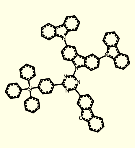 c1ccc([Si](c2ccccc2)(c2ccccc2)c2ccc(-c3nc(-c4ccc5c(c4)oc4ccccc45)nc(-n4c5ccc(-n6c7ccccc7c7ccccc76)cc5c5cc(-n6c7ccccc7c7ccccc76)ccc54)n3)cc2)cc1